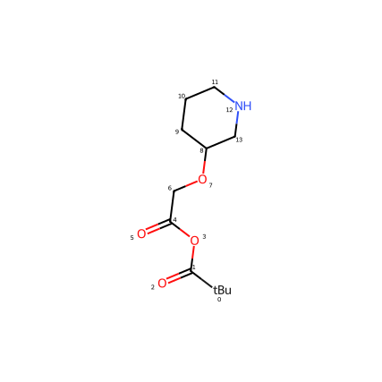 CC(C)(C)C(=O)OC(=O)COC1CCCNC1